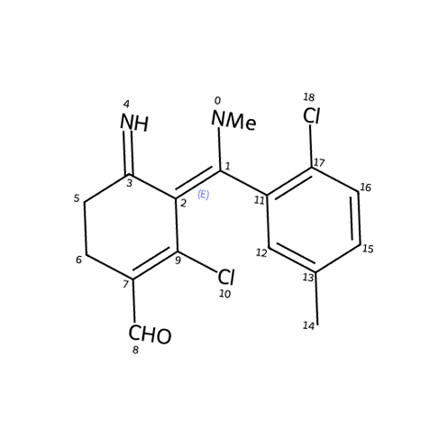 CN/C(=C1\C(=N)CCC(C=O)=C1Cl)c1cc(C)ccc1Cl